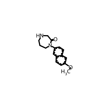 COc1ccc2cc(N3CCCNCC3=O)ccc2c1